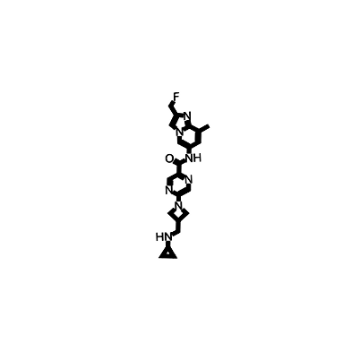 Cc1cc(NC(=O)c2cnc(N3CC(CNC4CC4)C3)cn2)cn2cc(CF)nc12